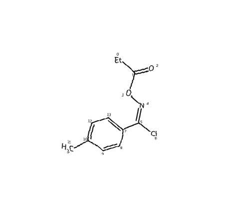 CCC(=O)O/N=C(/Cl)c1ccc(C)cc1